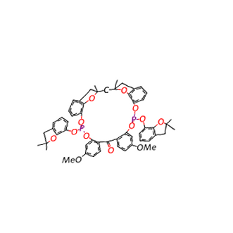 COc1ccc2c(c1)OP(Oc1cccc3c1OC(C)(C)C3)Oc1cccc3c1OC(C)(C3)CC1(C)Cc3cccc(c3O1)OP(Oc1cccc3c1OC(C)(C)C3)Oc1cc(OC)ccc1C2=O